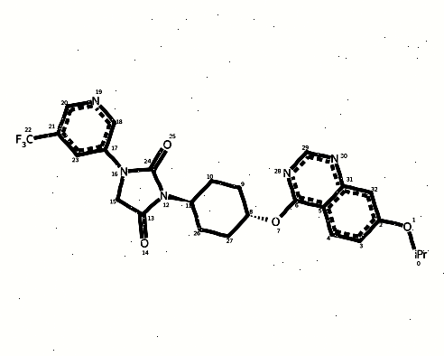 CC(C)Oc1ccc2c(O[C@H]3CC[C@H](N4C(=O)CN(c5cncc(C(F)(F)F)c5)C4=O)CC3)ncnc2c1